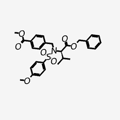 COC(=O)c1ccc(CN([C@@H](C(=O)OCc2ccccc2)C(C)C)S(=O)(=O)c2ccc(OC)cc2)cc1